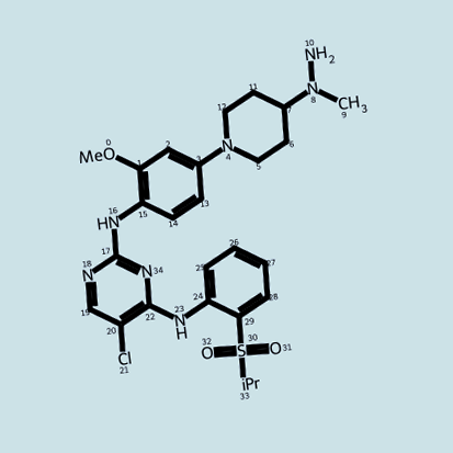 COc1cc(N2CCC(N(C)N)CC2)ccc1Nc1ncc(Cl)c(Nc2ccccc2S(=O)(=O)C(C)C)n1